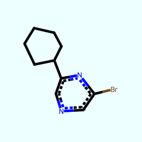 Brc1[c]ncc(C2CCCCC2)n1